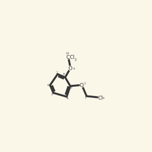 ClCOc1ccccc1OC(Cl)(Cl)Cl